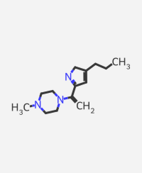 C=C(C1=NCC(CCC)=C1)N1CCN(C)CC1